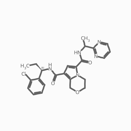 CC[C@@H](NC(=O)c1cc(C(=O)NC(C)c2ncccn2)n2c1COCC2)c1ccccc1Cl